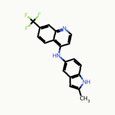 Cc1cc2cc(Nc3ccnc4cc(C(F)(F)F)ccc34)ccc2[nH]1